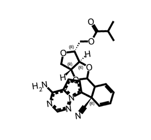 CC(C)C(=O)OC[C@H]1OC[C@H]2OC(C3C=CC=C[C@]3(C#N)c3ccc4c(N)ncnn34)O[C@H]12